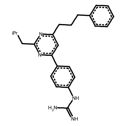 CC(C)Cc1nc(CCCc2ccccc2)cc(-c2ccc(NC(=N)N)cc2)n1